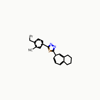 CC(C)Cc1ccc(-c2nnc(C3C=CC=C4CCCCC4=C3)s2)cc1C#N